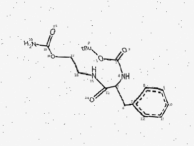 CC(C)(C)OC(=O)NC(Cc1ccccc1)C(=O)NCCOC(N)=O